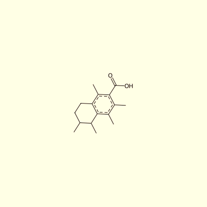 Cc1c(C)c2c(c(C)c1C(=O)O)CCC(C)C2C